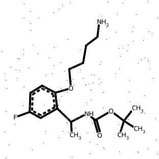 CC(NC(=O)OC(C)(C)C)c1cc(F)ccc1OCCCCN